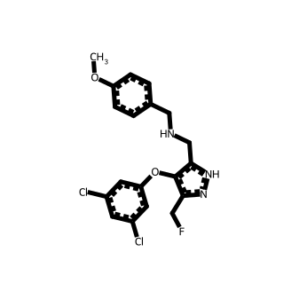 COc1ccc(CNCc2[nH]nc(CF)c2Oc2cc(Cl)cc(Cl)c2)cc1